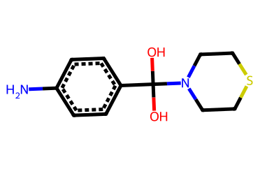 Nc1ccc(C(O)(O)N2CCSCC2)cc1